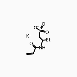 C=CC(=O)NC(CC)CS(=O)(=O)[O-].[K+]